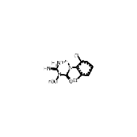 CCCCN(C(=N)N)C(=O)N(CCC)c1c(Cl)cccc1CC